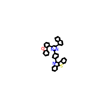 c1ccc2c(-c3cc(-c4cccc5oc6ccccc6c45)nc(-c4ccc(-c5nc6ccccc6c6sc7ccccc7c56)cc4)n3)cccc2c1